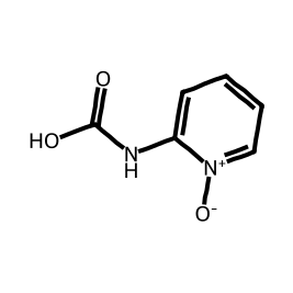 O=C(O)Nc1cccc[n+]1[O-]